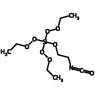 CCOO[Si](OCCN=C=O)(OOCC)OOCC